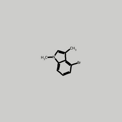 Cc1cn(C)c2cccc(Br)c12